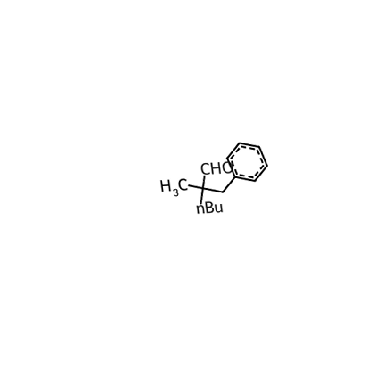 CCCCC(C)(C=O)Cc1ccccc1